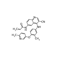 C=CC(=O)Nc1ccc2ncc(C#N)c(Nc3ccc(Oc4ccc(C)nc4)c(C)c3)c2c1